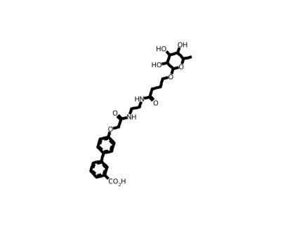 CC1OC(OCCCC(=O)NCCNC(=O)COc2ccc(-c3cccc(C(=O)O)c3)cc2)C(O)C(O)C1O